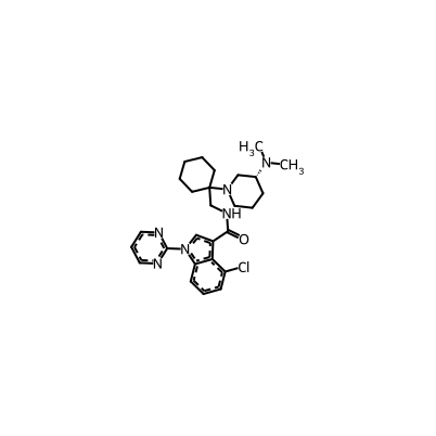 CN(C)[C@@H]1CCCN(C2(CNC(=O)c3cn(-c4ncccn4)c4cccc(Cl)c34)CCCCC2)C1